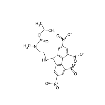 CC(C)OC(=O)N(C)CCNC1c2cc([N+](=O)[O-])cc([N+](=O)[O-])c2-c2c1cc([N+](=O)[O-])cc2[N+](=O)[O-]